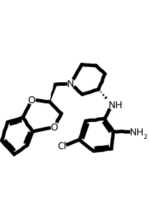 Nc1ccc(Cl)cc1N[C@H]1CCCN(C[C@H]2COc3ccccc3O2)C1